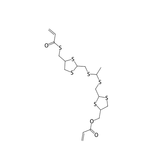 C=CC(=O)OCC1CSC(CSC(C)SCC2SCC(CSC(=O)C=C)S2)S1